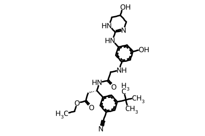 CCOC(=O)C[C@H](NC(=O)CNc1cc(O)cc(NC2=NCC(O)CN2)c1)c1cc(C#N)cc(C(C)(C)C)c1